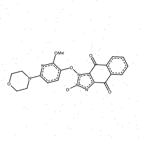 COc1nc(N2CCOCC2)ccc1On1c2c(n[n+]1[O-])C(=O)c1ccccc1C2=O